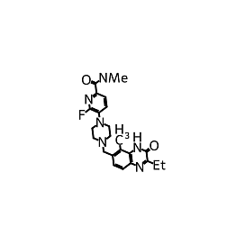 CCc1nc2ccc(CN3CCN(c4ccc(C(=O)NC)nc4F)CC3)c(C)c2[nH]c1=O